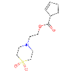 O=C(OCCN1CCS(=O)(=O)CC1)C1C=CCC1